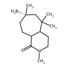 B[C@@]1(C)CCC2C(=S)N(C)CCC2C(C)(C)C1